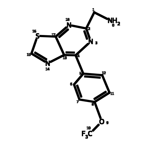 NCc1nc(-c2ccc(OC(F)(F)F)cc2)c2ncsc2n1